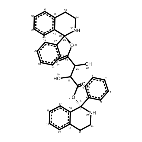 O=C(O[C@]1(c2ccccc2)NCCc2ccccc21)C(O)C(O)C(=O)O[C@]1(c2ccccc2)NCCc2ccccc21